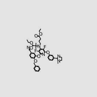 CCOC(=O)CCCN(c1c(F)c(Oc2cccc(C3=NCCN3C)c2)nc(Oc2cc(C#N)ccc2OCc2ccccc2)c1F)C(C)(C)C(=O)OCC